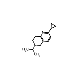 CC(C)N1CCc2nc(C3CC3)ccc2C1